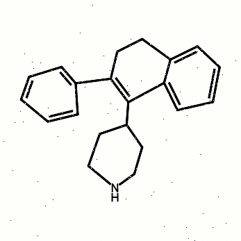 c1ccc(C2=C(C3CCNCC3)c3ccccc3CC2)cc1